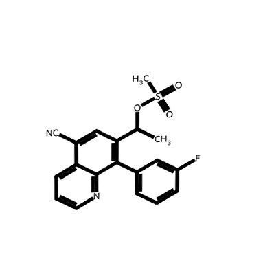 CC(OS(C)(=O)=O)c1cc(C#N)c2cccnc2c1-c1cccc(F)c1